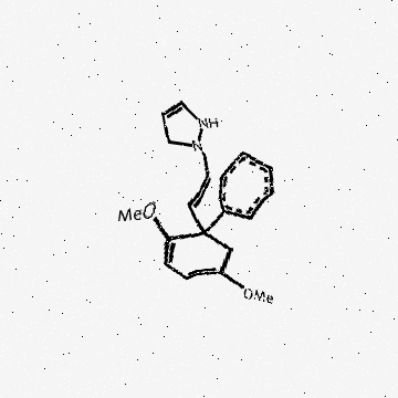 COC1=CC=C(OC)C(C=CN2CC=CN2)(c2ccccc2)C1